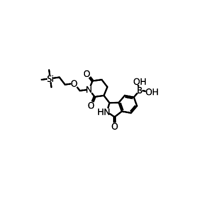 C[Si](C)(C)CCOCN1C(=O)CCC(C2NC(=O)c3ccc(B(O)O)cc32)C1=O